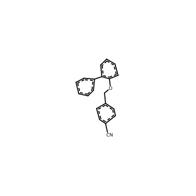 N#Cc1ccc(COc2[c]cccc2-c2ccccc2)cc1